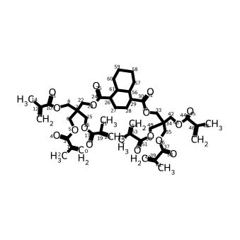 C=C(C)C(=O)OCC(COC(=O)C(=C)C)(COC(=O)C(=C)C)COC(=O)C1CCC(C(=O)OCC(COC(=O)C(=C)C)(COC(=O)C(=C)C)COC(=O)C(=C)C)C2CCCCC12